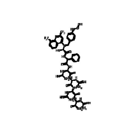 N=C(N)NC(NC(=O)C(NC(=N)N)NC(=O)C(NC(=N)N)NC(=O)C(NC(=N)N)NC(=O)C(NC(=O)C(O)N(Cc1ccc(NOO)cc1)c1cc(C(F)(F)F)nc2c(C(F)(F)F)cccc12)c1ccccc1)C(N)=O